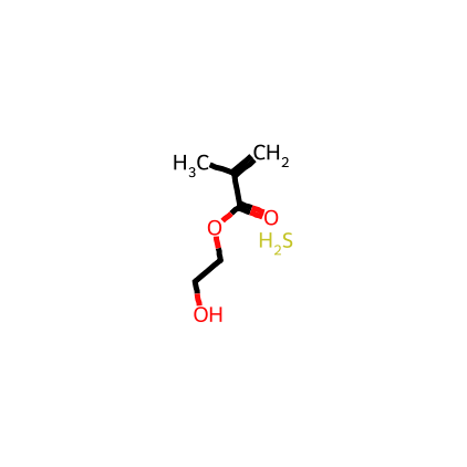 C=C(C)C(=O)OCCO.S